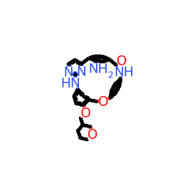 Nc1cc2ccc1-c1ccnc(n1)Nc1ccc(OCC3CCCOC3)c(c1)COc1ccc(cc1)NC2=O